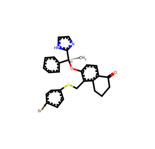 C[C@](Oc1ccc2c(c1CSc1ccc(Br)cc1)CCCC2=O)(c1ccccc1)c1ncc[nH]1